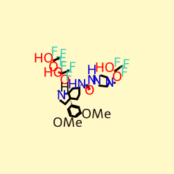 COc1ccc([C@@]23CC[C@@H](NC(=O)NN4CCN(C)CC4)C[C@@H]2N(C)CC3)cc1OC.O=C(O)C(F)(F)F.O=C(O)C(F)(F)F.O=C(O)C(F)(F)F